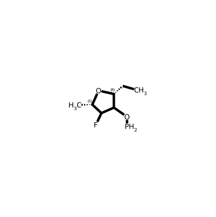 CC[C@H]1O[C@@H](C)C(F)C1OP